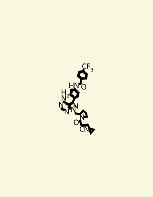 N#CC(=CC1CC1)C(=O)N1CCCC1Cn1nc(-c2ccc(NC(=O)c3ccc(C(F)(F)F)cc3)cc2)c2c(N)ncnc21